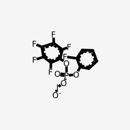 O=P(O[I+][O-])(Oc1ccccc1F)Oc1c(F)c(F)c(F)c(F)c1F